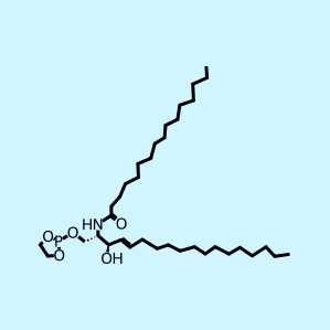 CCCCCCCCCCCCCC=C[C@@H](O)[C@H](COP1OCCO1)NC(=O)CCCCCCCCCCCCCCC